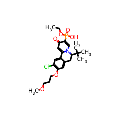 CCOP(=O)(O)c1cn2c(cc1=O)-c1cc(Cl)c(OCCCOC)cc1CC2C(C)(C)C